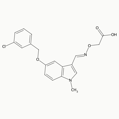 Cn1cc(C=NOCC(=O)O)c2cc(OCc3cccc(Cl)c3)ccc21